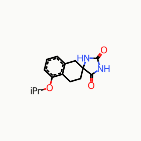 CC(C)Oc1cccc2c1CCC1(C2)NC(=O)NC1=O